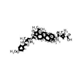 COc1ccc(C(=O)NC(C)(C)CNC(=O)C[C@@]23CC[C@]4(C)[C@H](CC[C@@H]5[C@@]6(C)CC[C@H](OC(=O)[C@H]7C[C@@H](C(=O)O)C7(C)C)C(C)(C)[C@@H]6CC[C@]54C)C2=C(C(C)C)C(=O)C3)cc1